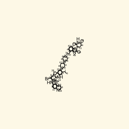 CCc1cc(Nc2ncc(Br)c(Nc3ccc4nccnc4c3PC)n2)c(OC)cc1N1CCC(N2CCN(CCc3cccc4c3n(C)c(=O)n4C3CCC(=O)NC3=O)CC2)CC1